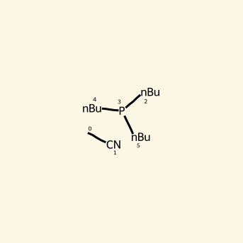 CC#N.CCCCP(CCCC)CCCC